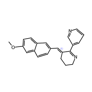 COc1ccc2cc(/C=C3\CCCN=C3c3cccnc3)ccc2c1